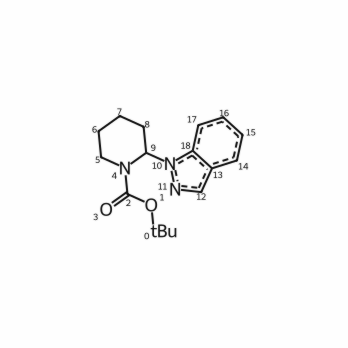 CC(C)(C)OC(=O)N1CCCCC1n1ncc2ccccc21